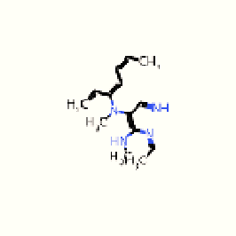 C=C/C(=C\C=C/C)N(C)/C(C=N)=C(/N=C\C)NC